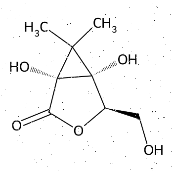 CC1(C)[C@]2(O)C(=O)O[C@H](CO)[C@]12O